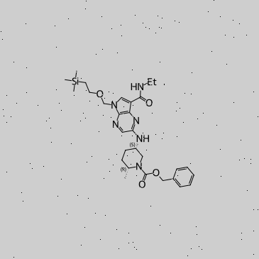 CCNC(=O)c1cn(COCC[Si](C)(C)C)c2ncc(N[C@H]3CC[C@@H](C)N(C(=O)OCc4ccccc4)C3)nc12